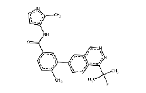 Cc1ccc(C(=O)Nc2ccnn2C)cc1-c1ccc2c(C(C)(C)F)nncc2c1